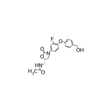 CC(=O)NC[C@H]1CN(c2ccc(Oc3ccc(CO)cc3)c(F)c2)C(=O)O1